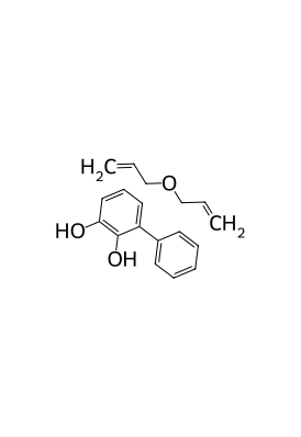 C=CCOCC=C.Oc1cccc(-c2ccccc2)c1O